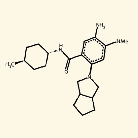 CNc1cc(N2CC3CCCC3C2)c(C(=O)N[C@H]2CC[C@H](C)CC2)cc1N